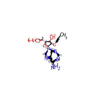 CC#CO[C@@H]1[C@H](O)[C@@H](CO)O[C@H]1n1cnc2c(N)ncnc21